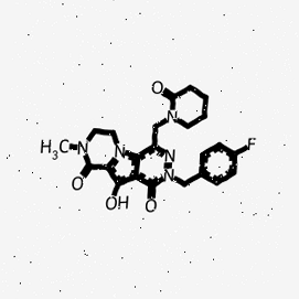 CN1CCn2c(c(O)c3c(=O)n(Cc4ccc(F)cc4)nc(CN4CCCCC4=O)c32)C1=O